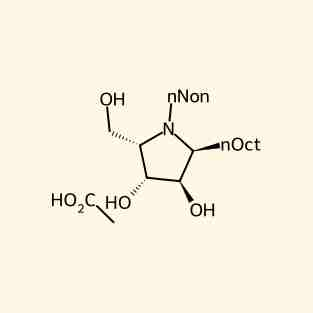 CC(=O)O.CCCCCCCCCN1[C@@H](CO)[C@@H](O)[C@H](O)[C@@H]1CCCCCCCC